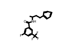 CC(CCc1ccccc1)NC(=O)c1cc(F)cc(C(F)(F)F)c1